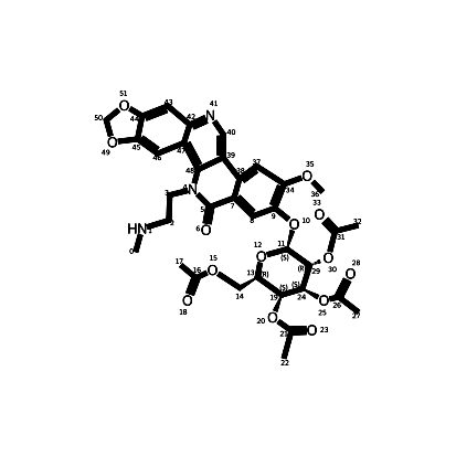 CNCCn1c(=O)c2cc(O[C@@H]3O[C@H](COC(C)=O)[C@H](OC(C)=O)[C@H](OC(C)=O)[C@H]3OC(C)=O)c(OC)cc2c2cnc3cc4c(cc3c21)OCO4